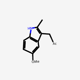 COc1ccc2[nH]c(C)c(CC(C)=O)c2c1